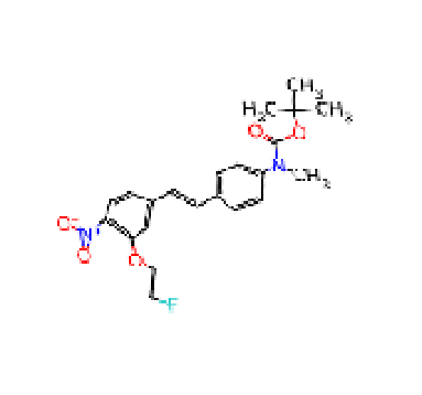 CN(C(=O)OC(C)(C)C)c1ccc(/C=C/c2ccc([N+](=O)[O-])c(OCCF)c2)cc1